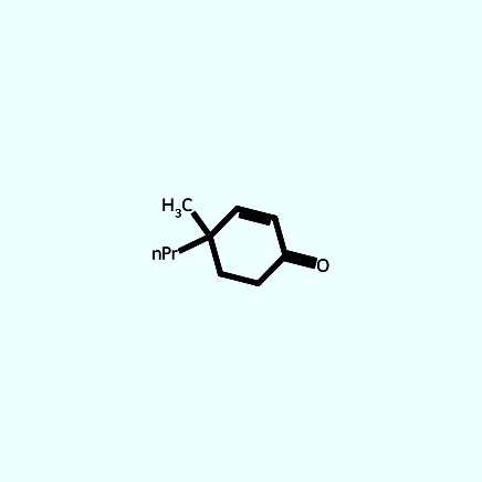 CCCC1(C)C=CC(=O)CC1